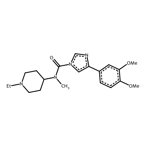 CCN1CCC(N(C)C(=O)n2cnc(-c3ccc(OC)c(OC)c3)c2)CC1